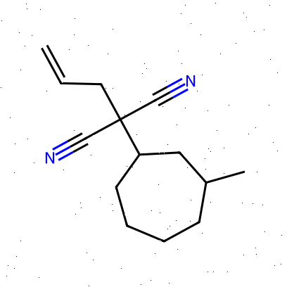 C=CCC(C#N)(C#N)C1CCCCC(C)C1